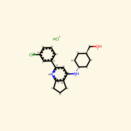 Cl.OC[C@H]1CC[C@H](Nc2cc(-c3cccc(Cl)c3)nc3c2CCC3)CC1